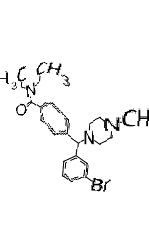 CCN(CC)C(=O)c1ccc(C(c2cccc(Br)c2)N2CCN(C)CC2)cc1